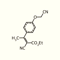 CCOC(=O)/C(C#N)=C(/C)c1ccc(OCC#N)cc1